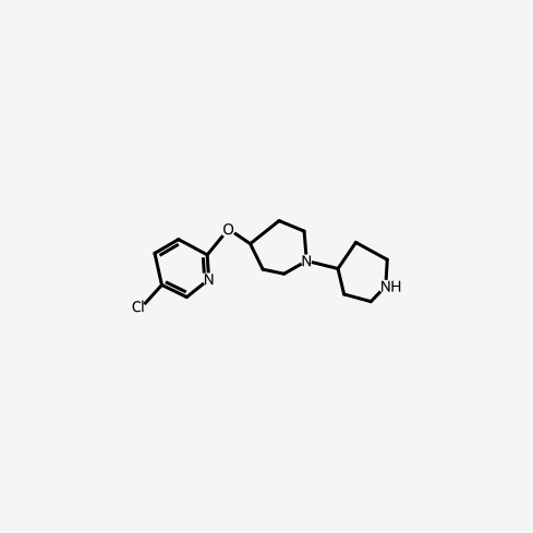 Clc1ccc(OC2CCN(C3CCNCC3)CC2)nc1